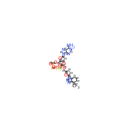 Nc1ncnc2c1ncn2[C@H]1C[C@H](O[P@](=O)(S)OC[C@@H]2CC[C@H](n3nnc4c(C(F)(F)F)cccc43)O2)[C@@H](CO[PH](=O)O)O1